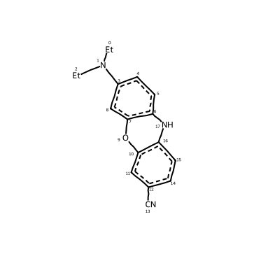 CCN(CC)c1ccc2c(c1)Oc1cc(C#N)ccc1N2